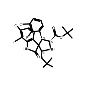 CC(C)(C)C[C@@H]1N[C@@H](C(=O)OC(C)(C)C)[C@H](c2cccc(Cl)c2F)C12C(=O)Nc1c2ccc(Cl)c1F